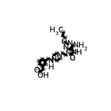 CCCCOc1nc(N)c2[nH]c(=O)n(CCN3CCN(NCc4cccc(CC(=O)O)c4)CC3)c2n1